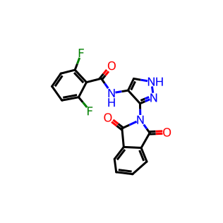 O=C(Nc1c[nH]nc1N1C(=O)c2ccccc2C1=O)c1c(F)cccc1F